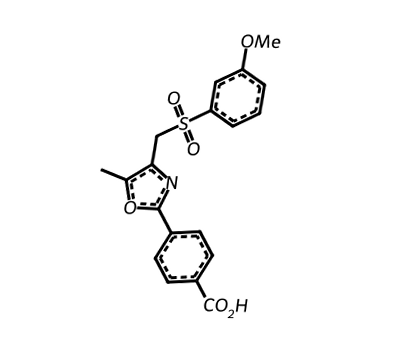 COc1cccc(S(=O)(=O)Cc2nc(-c3ccc(C(=O)O)cc3)oc2C)c1